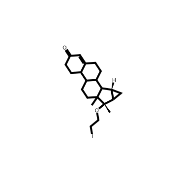 CC12CCC3C4CCC(=O)C=C4CCC3C1[C@@H]1CC1[C@]2(C)OCCI